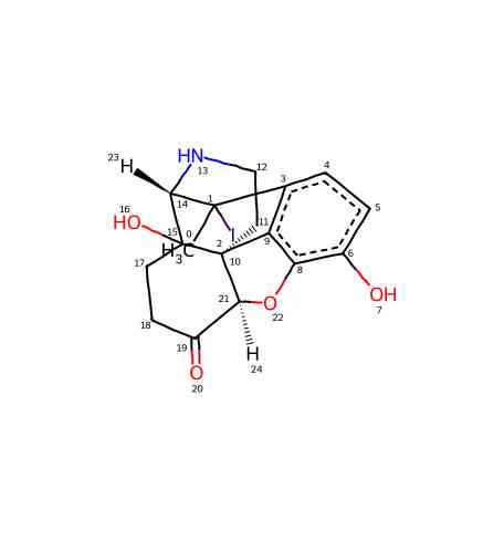 CC1(I)c2ccc(O)c3c2[C@]24CCN[C@H]1C2(O)CCC(=O)[C@@H]4O3